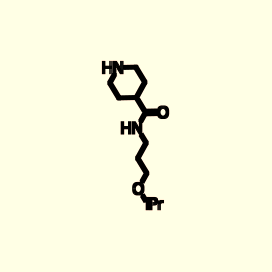 CC(C)OCCCNC(=O)C1CCNCC1